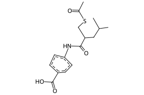 CC(=O)SCC(CC(C)C)C(=O)Nc1ccc(C(=O)O)cc1